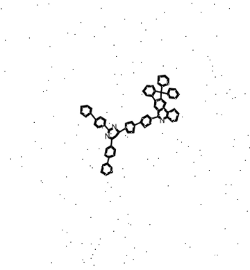 c1ccc(-c2ccc(-c3cc(-c4ccc(-c5ccc(-c6nc7ccccc7c7cc8c(cc67)-c6ccccc6C8(c6ccccc6)c6ccccc6)cc5)cc4)nc(-c4ccc(-c5ccccc5)cc4)n3)cc2)cc1